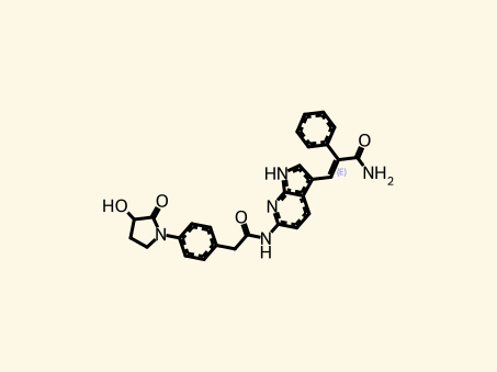 NC(=O)/C(=C/c1c[nH]c2nc(NC(=O)Cc3ccc(N4CCC(O)C4=O)cc3)ccc12)c1ccccc1